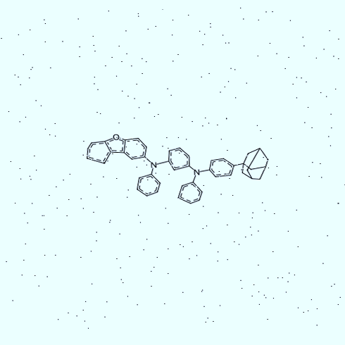 c1ccc(N(c2ccc(C34CC5CC(CC(C5)C3)C4)cc2)c2cccc(N(c3ccccc3)c3ccc4oc5ccccc5c4c3)c2)cc1